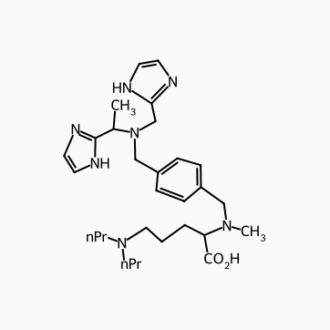 CCCN(CCC)CCCC(C(=O)O)N(C)Cc1ccc(CN(Cc2ncc[nH]2)C(C)c2ncc[nH]2)cc1